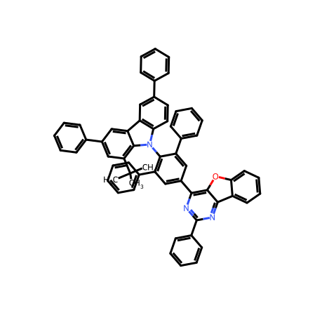 CC(C)(C)c1cc(-c2ccccc2)cc2c3cc(-c4ccccc4)ccc3n(-c3c(-c4ccccc4)cc(-c4nc(-c5ccccc5)nc5c4oc4ccccc45)cc3-c3ccccc3)c12